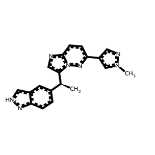 C[C@@H](c1ccc2n[nH]cc2c1)c1cnc2ccc(-c3cnn(C)c3)nn12